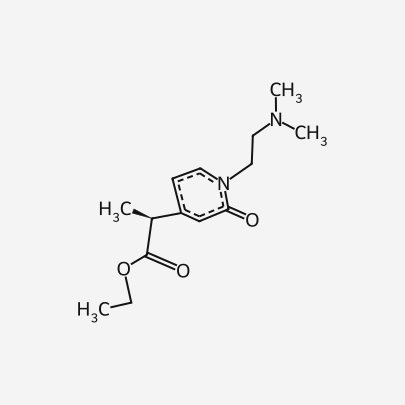 CCOC(=O)[C@@H](C)c1ccn(CCN(C)C)c(=O)c1